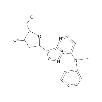 CN(c1ccccc1)c1ncnc2c(C3CC(=O)C(CO)O3)cnn12